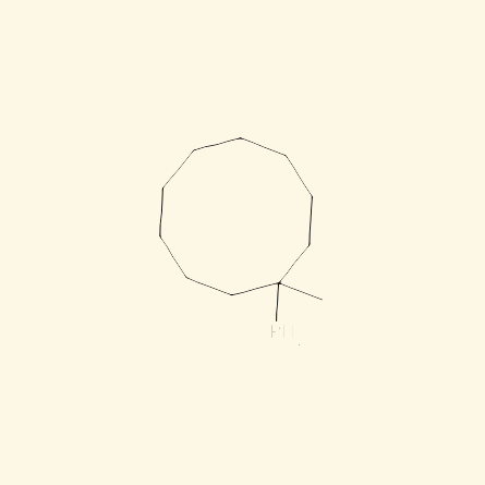 CC1(P)CCCCCCCCC1